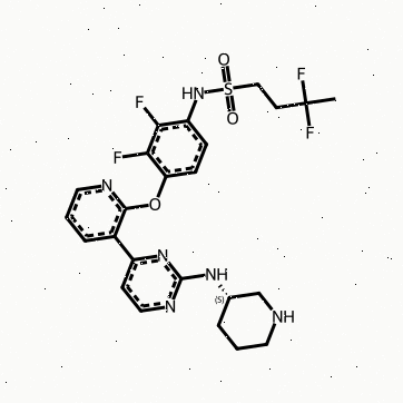 CC(F)(F)CCS(=O)(=O)Nc1ccc(Oc2ncccc2-c2ccnc(N[C@H]3CCCNC3)n2)c(F)c1F